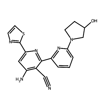 N#Cc1c(N)cc(-c2nccs2)nc1-c1cccc(N2CCC(O)C2)n1